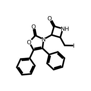 O=C1NC(CI)C1n1c(-c2ccccc2)c(-c2ccccc2)oc1=O